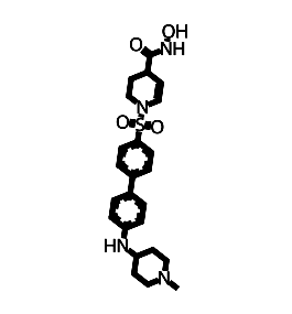 CN1CCC(Nc2ccc(-c3ccc(S(=O)(=O)N4C=CC(C(=O)NO)CC4)cc3)cc2)CC1